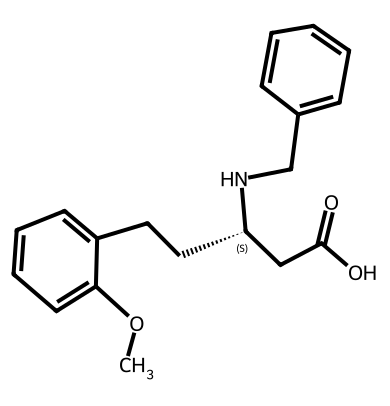 COc1ccccc1CC[C@@H](CC(=O)O)NCc1ccccc1